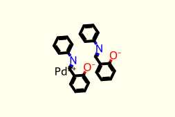 [O-]c1ccccc1/C=N/c1ccccc1.[O-]c1ccccc1/C=N/c1ccccc1.[Pd+2]